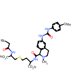 COc1ccc(NC(=O)Nc2ccc3c(c2)CCN(C)C3C(=O)NC(CCSCC(NC(=O)CC(C)(C)C)C(=O)O)C(=O)O)cc1